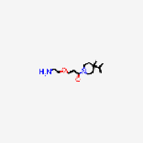 CC(C)C1(C)CCN(C(=O)CCOCCN)CC1